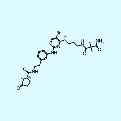 CC(C)(C(N)=O)C(=O)NCCCNc1nc(Nc2cccc(CCNC(=O)[C@H]3CCC(=O)O3)c2)ncc1Br